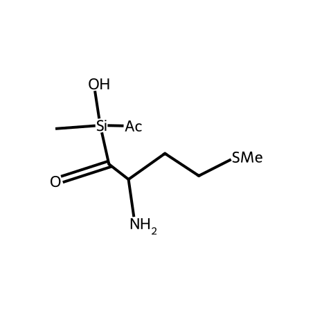 CSCCC(N)C(=O)[Si](C)(O)C(C)=O